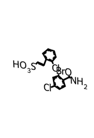 NC(=O)c1ccc(Cl)cc1Br.O=S(=O)(O)/C=C/c1ccccc1Cl